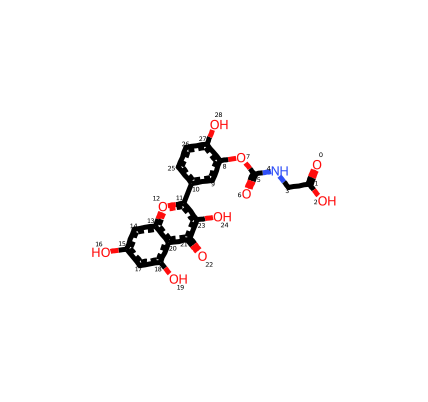 O=C(O)CNC(=O)Oc1cc(-c2oc3cc(O)cc(O)c3c(=O)c2O)ccc1O